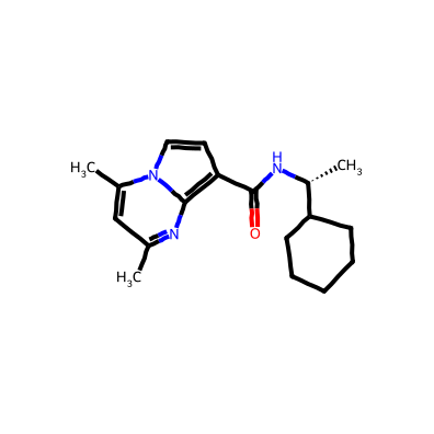 Cc1cc(C)n2ccc(C(=O)N[C@H](C)C3CCCCC3)c2n1